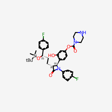 CC(C)(C)[Si](C)(C)O[C@@H](CC[C@H]1C(=O)N(c2ccc(F)cc2)[C@@H]1c1ccc(OC(=O)N2CCNCC2)cc1O)c1ccc(F)cc1